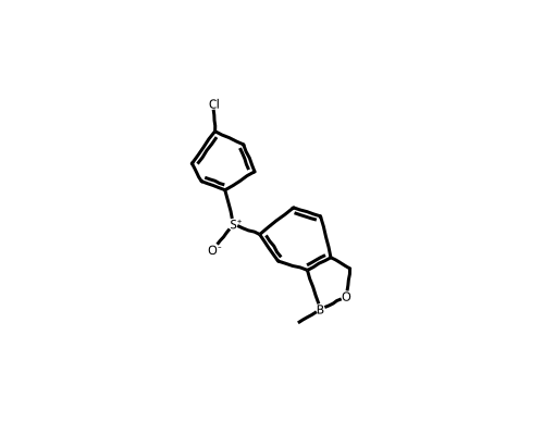 CB1OCc2ccc([S+]([O-])c3ccc(Cl)cc3)cc21